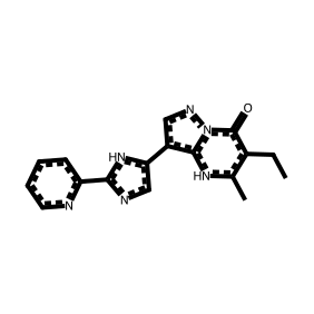 CCc1c(C)[nH]c2c(-c3cnc(-c4ccccn4)[nH]3)cnn2c1=O